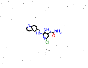 NC(=O)Cc1cc(Cl)nc(NCc2ccc3ncccc3c2)c1N